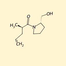 C=CC[C@@H](C)C(=O)N1CCC[C@H]1CO